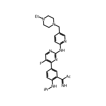 CCN1CCN(Cc2ccc(Nc3ncc(F)c(-c4ccc(NC(C)C)c(C(=N)C(C)=O)c4)n3)nc2)CC1